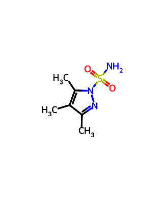 Cc1nn(S(N)(=O)=O)c(C)c1C